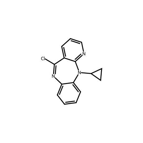 ClC1=Nc2ccccc2N(C2CC2)c2ncccc21